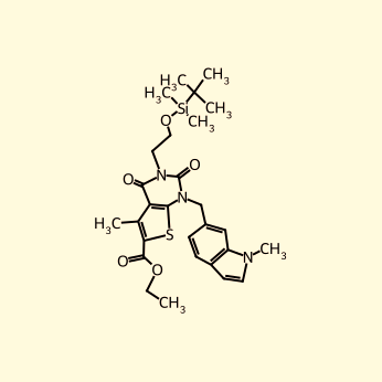 CCOC(=O)c1sc2c(c1C)c(=O)n(CCO[Si](C)(C)C(C)(C)C)c(=O)n2Cc1ccc2ccn(C)c2c1